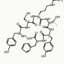 C[C@@H](O)[C@H](NC(=O)[C@H](CCCNC(=N)N)NC(=O)[C@H](CS)NC(=O)[C@@H](N)Cc1ccc(O)cc1)C(=O)N[C@@H](Cc1ccc(O)cc1)C(=O)N[C@@H](Cc1ccccc1)C(=O)O